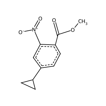 COC(=O)c1ccc(C2CC2)cc1[N+](=O)[O-]